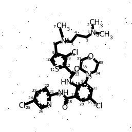 CN(C)CCCN(C)Cc1csc(C(=O)Nc2c(C(=O)Nc3ccc(Cl)cn3)cc(Cl)cc2N2CCOCC2)c1Cl